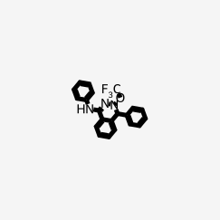 FC(F)(F)ON1N=C(Nc2ccccc2)c2ccccc2C1c1ccccc1